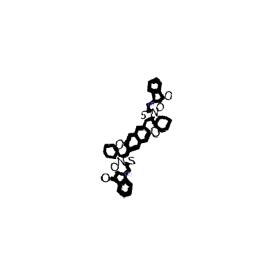 O=C1C(=O)c2ccccc2/C1=C/c1nc2c(s1)C1=CC3C=C4OC5(CCCCC5)c5nc(/C=C6\C(=O)C(=O)c7ccccc76)sc5C4=CC3C=C1OC21CCCCC1